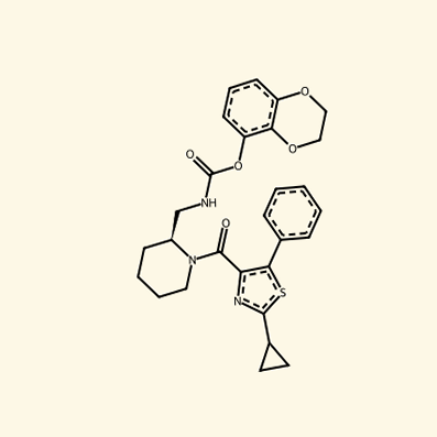 O=C(NC[C@@H]1CCCCN1C(=O)c1nc(C2CC2)sc1-c1ccccc1)Oc1cccc2c1OCCO2